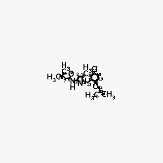 Cc1cc(NC(=O)CC(C)C)nn1Cc1cc(Cl)ccc1OCC(C)C